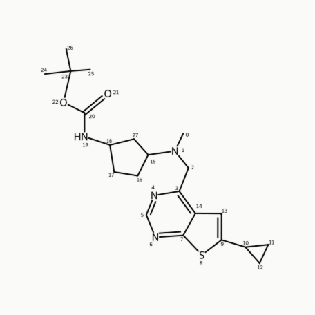 CN(Cc1ncnc2sc(C3CC3)cc12)C1CCC(NC(=O)OC(C)(C)C)C1